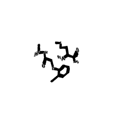 CNNC(=O)COc1ccccc1C.CSCCC(N)C(N)=O